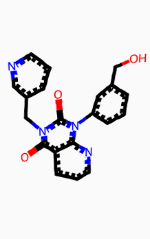 O=c1c2cccnc2n(-c2cccc(CO)c2)c(=O)n1Cc1cccnc1